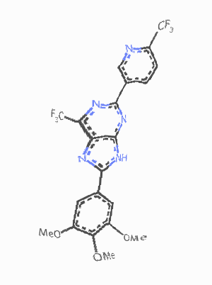 COc1cc(-c2nc3c(C(F)(F)F)nc(-c4ccc(C(F)(F)F)nc4)nc3[nH]2)cc(OC)c1OC